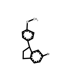 COc1ccc(C2CCc3ccc(Br)cc32)cc1